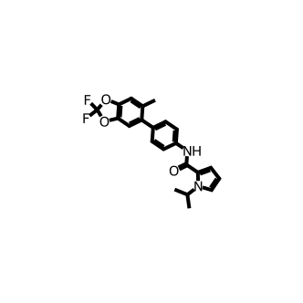 Cc1cc2c(cc1-c1ccc(NC(=O)c3cccn3C(C)C)cc1)OC(F)(F)O2